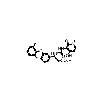 Cc1cccc(C)c1Oc1cccc(C(CC(=O)O)NC(=O)Nc2c(O)ccn(C)c2=O)c1